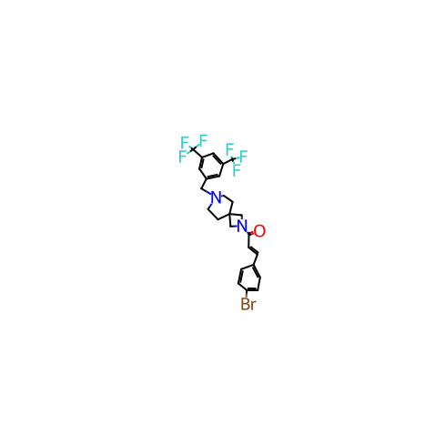 O=C(C=Cc1ccc(Br)cc1)N1CC2(CCN(Cc3cc(C(F)(F)F)cc(C(F)(F)F)c3)CC2)C1